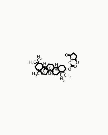 C[C@H]1[C@@H](OC(=O)ON2C(=O)CCC2=O)CC[C@@H]2[C@]1(C)CC[C@H]1[C@@]2(C)CCC2(C)[C@@H]3CC(C)(C)CC[C@]3(C)CC[C@]12C